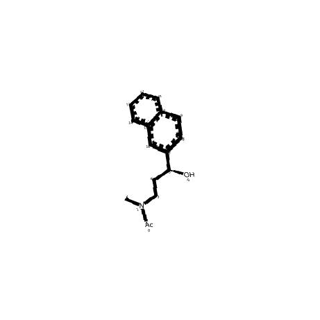 CC(=O)N(C)CC[C@H](O)c1ccc2ccccc2c1